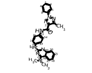 Cc1nn(-c2ccccc2)nc1C(=O)Nc1ccc(Nc2nc(N(C)C)c3ccccc3n2)cc1